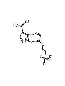 O=C(O)c1cnn2cc(OCCC(F)(F)F)ccc12